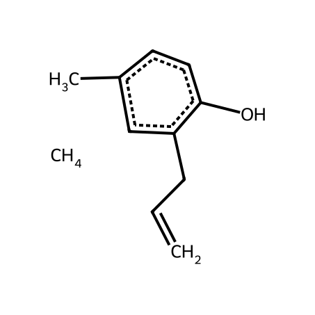 C.C=CCc1cc(C)ccc1O